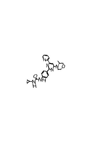 CC1COCCN1c1cc(-c2ccccn2)nc(-c2ccc(NC(=O)NC3CC3)cc2)n1